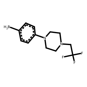 Bc1ccc(N2CCN(CC(F)(F)F)CC2)cc1